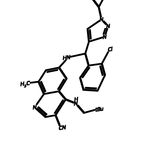 Cc1cc(NC(c2cn(C3CC3)nn2)c2ccccc2Cl)cc2c(NCC(C)(C)C)c(C#N)cnc12